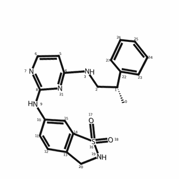 C[C@H](CNc1ccnc(Nc2ccc3c(c2)S(=O)(=O)NC3)n1)c1ccccc1